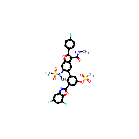 CNC(=O)c1c(-c2ccc(F)cc2)oc2cc(N(C)S(C)(=O)=O)c(-c3cc(OS(C)(=O)=O)cc(-c4nc5cc(F)cc(F)c5o4)c3)cc12